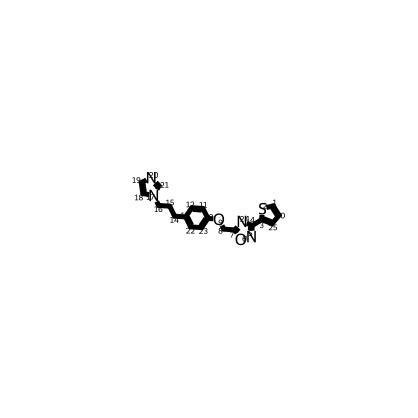 c1csc(-c2noc(COc3ccc(CCCn4ccnc4)cc3)n2)c1